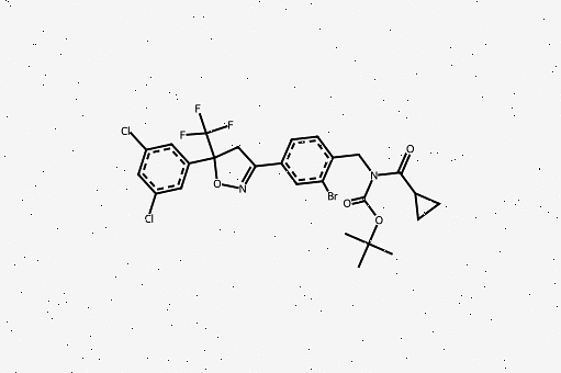 CC(C)(C)OC(=O)N(Cc1ccc(C2=NOC(c3cc(Cl)cc(Cl)c3)(C(F)(F)F)C2)cc1Br)C(=O)C1CC1